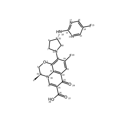 C[C@H]1COc2c(N3CC[C@H](Nc4ncc(F)cn4)C3)c(F)cc3c(=O)c(C(=O)O)cn1c23